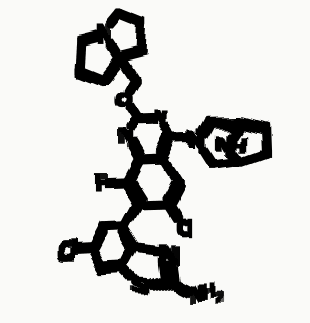 Nc1nc2c(-c3c(Cl)cc4c(N5CC6CCC(C5)N6)nc(OCC56CCCN5CCC6)nc4c3F)cc(Cl)cc2s1